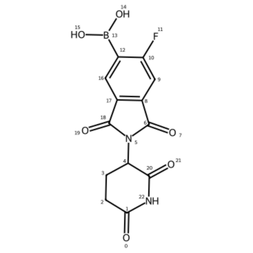 O=C1CCC(N2C(=O)c3cc(F)c(B(O)O)cc3C2=O)C(=O)N1